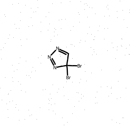 BrC1(Br)C=NN=N1